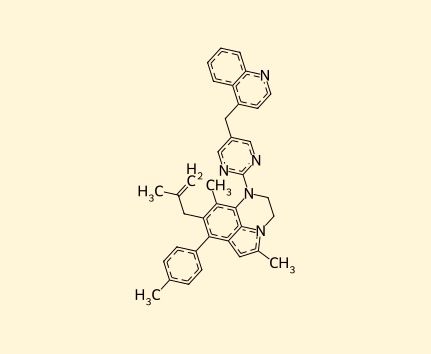 C=C(C)Cc1c(C)c2c3c(cc(C)n3CCN2c2ncc(Cc3ccnc4ccccc34)cn2)c1-c1ccc(C)cc1